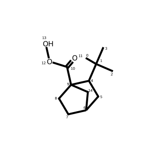 CC(C)(C)C1CC2CCC1(C(=O)OO)C2